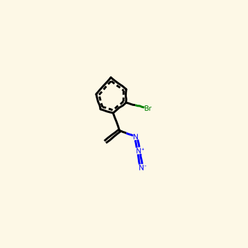 C=C(N=[N+]=[N-])c1ccccc1Br